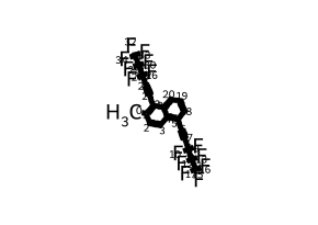 Cc1ccc2c(C#CC(F)(F)C(F)(F)C(F)(F)F)cccc2c1C#CC(F)(F)C(F)(F)C(F)(F)F